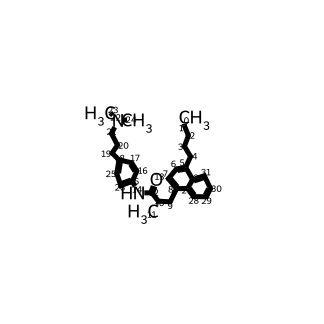 CCCCCc1ccc(C[C@@H](C)C(=O)Nc2ccc(CCCN(C)C)cc2)c2ccccc12